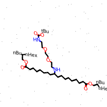 CCCCCCC(CCCC)COC(=O)CCCCCCCCC(CCCCCCCC(=O)OCC(CCCC)CCCCCC)NCCOCCOCCNC(=O)OC(C)(C)C